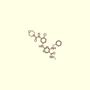 C[C@@H](Nc1nc(Nc2ccc(Cl)c(NC(=O)N3CCOCC3)c2)ncc1C(N)=O)c1ccccc1